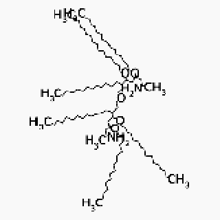 CCCCCCCCCCCCCCCCOC(CC(C)N)CC(OCCCCCCCCCCCCCCCC)C(CCCCCCCCCCCCC)CCOCCC(CCCCCCCCCCCCC)C(CC(CC(C)N)OCCCCCCCCCCCCCCCC)OCCCCCCCCCCCCCCCC